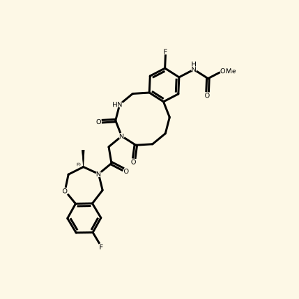 COC(=O)Nc1cc2c(cc1F)CNC(=O)N(CC(=O)N1Cc3cc(F)ccc3OC[C@H]1C)C(=O)CCC2